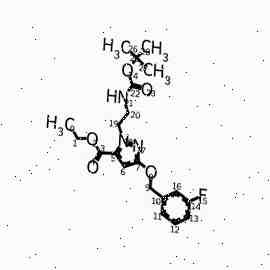 CCOC(=O)c1cc(OCc2cccc(F)c2)nn1CCNC(=O)OC(C)(C)C